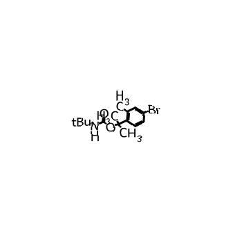 Cc1cc(Br)ccc1C(C)(C)OC(=O)NC(C)(C)C